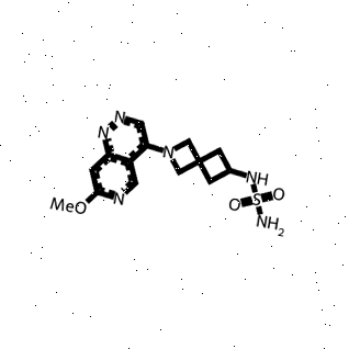 COc1cc2nncc(N3CC4(CC(NS(N)(=O)=O)C4)C3)c2cn1